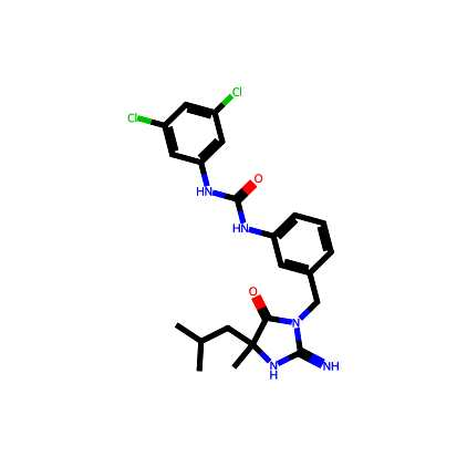 CC(C)CC1(C)NC(=N)N(Cc2cccc(NC(=O)Nc3cc(Cl)cc(Cl)c3)c2)C1=O